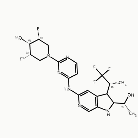 C[C@H](C1c2cc(Nc3ccnc(N4C[C@@H](F)[C@@H](O)[C@@H](F)C4)n3)ncc2NC1[C@@H](C)O)C(F)(F)F